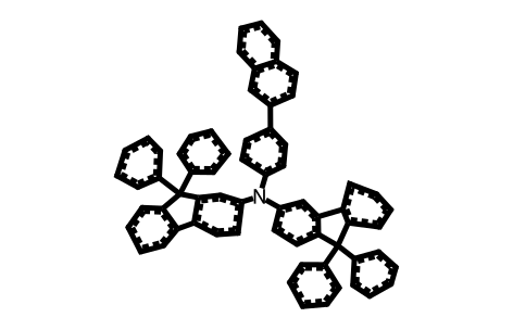 c1ccc(C2(c3ccccc3)c3ccccc3-c3cc(N(c4ccc(-c5ccc6ccccc6c5)cc4)c4ccc5c(c4)C(c4ccccc4)(c4ccccc4)c4ccccc4-5)ccc32)cc1